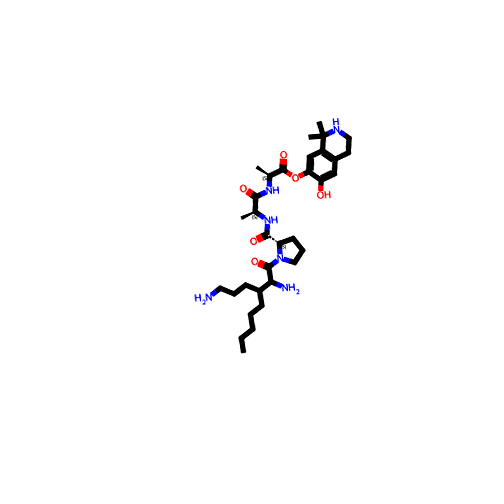 CCCCCC(CCCN)C(N)C(=O)N1CCC[C@H]1C(=O)N[C@@H](C)C(=O)N[C@@H](C)C(=O)Oc1cc2c(cc1O)CCNC2(C)C